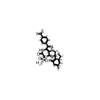 CS(=O)(=O)CC(=O)Nc1c(-c2ccc(C(F)F)cc2)nn2c1C(=O)N[C@@]1(CCc3cc(F)cc(F)c31)C2